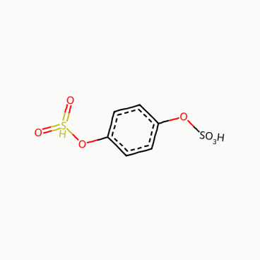 O=[SH](=O)Oc1ccc(OS(=O)(=O)O)cc1